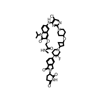 CNC(=O)COc1cc2cc(Nc3nc(N4CCC(OC5CC(N6CC[C@H](c7ccc8c(c7)CN(C7CCC(=O)NC7=O)C8=O)[C@@H](F)C6)C5)CC4)ncc3Cl)ccc2n(C(C)C)c1=O